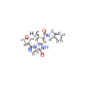 Cc1cc2c(cc1C(=O)N1Cc3ccccc3C1)[nH]c(=O)c1cnc(C3CCOC3)n12